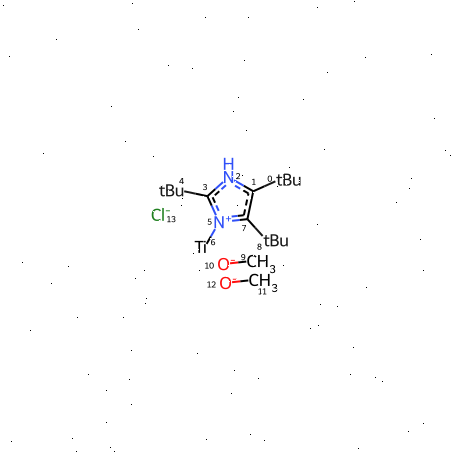 CC(C)(C)c1[nH]c(C(C)(C)C)[n+]([Ti])c1C(C)(C)C.C[O-].C[O-].[Cl-]